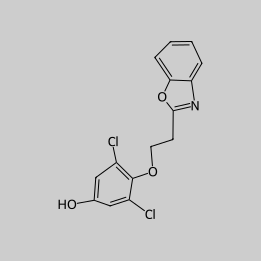 Oc1cc(Cl)c(OCCc2nc3ccccc3o2)c(Cl)c1